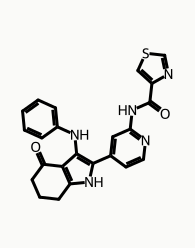 O=C(Nc1cc(-c2[nH]c3c(c2Nc2ccccc2)C(=O)CCC3)ccn1)c1cscn1